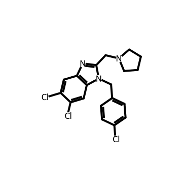 Clc1ccc(Cn2c(CN3CCCC3)nc3cc(Cl)c(Cl)cc32)cc1